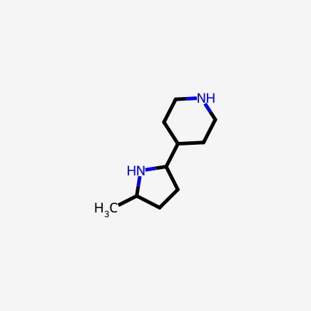 CC1CCC(C2CCNCC2)N1